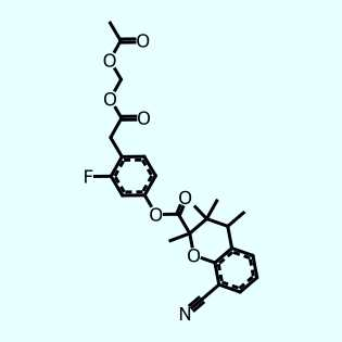 CC(=O)OCOC(=O)Cc1ccc(OC(=O)C2(C)Oc3c(C#N)cccc3C(C)C2(C)C)cc1F